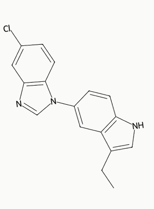 CCc1c[nH]c2ccc(-n3cnc4cc(Cl)ccc43)cc12